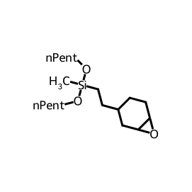 CCCCCO[Si](C)(CCC1CCC2OC2C1)OCCCCC